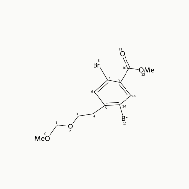 COCOCCc1cc(Br)c(C(=O)OC)cc1Br